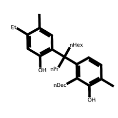 CCCCCCCCCCc1c(C(CCC)(CCCCCC)c2cc(C)c(CC)cc2O)ccc(C)c1O